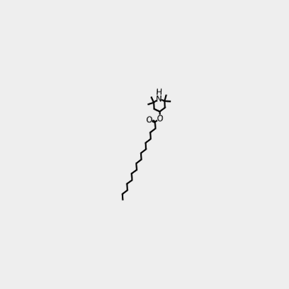 CCCCCCCCCCCCCCCC(=O)OC1CC(C)(C)NC(C)(C)C1